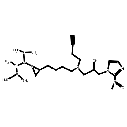 BB(B)B(B)B(B(B)B)B1CC1CCCCN(CCC#C)CC(O)Cn1ccnc1[N+](=O)[O-]